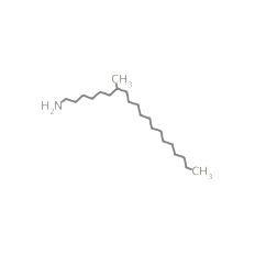 CCCCCCCCCCCCCC(C)CCCCCCN